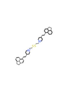 C1=CC2=C(/C=C/c3cc[n+](CCSSCC[n+]4ccc(/C=C/c5ccc6c7c(cccc57)CC6)cc4)cc3)C=CC3CCC(=C1)C23